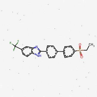 CCS(=O)(=O)c1ccc(-c2ccc(-c3nc4cc(C(F)(F)F)ccc4[nH]3)cc2)cc1